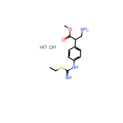 CCSC(=N)Nc1ccc(C(CN)C(=O)OC)cc1.Cl.Cl